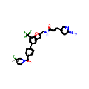 C[C@@]1(F)CCN(C(=O)c2ccc(-c3cc(C(F)(F)F)c4oc(CNC(=O)C=Cc5ccc(N)nc5)cc4c3)cc2)C1